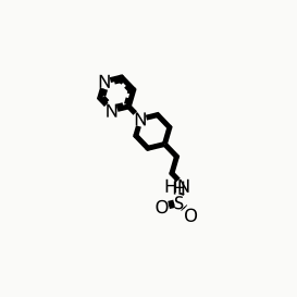 O=[SH](=O)NCCC1CCN(c2ccncn2)CC1